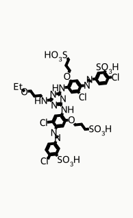 CCOCCCNc1nc(Nc2cc(Cl)c(N=Nc3ccc(Cl)c(S(=O)(=O)O)c3)cc2OCCCS(=O)(=O)O)nc(Nc2cc(Cl)c(N=Nc3ccc(Cl)c(S(=O)(=O)O)c3)cc2OCCCS(=O)(=O)O)n1